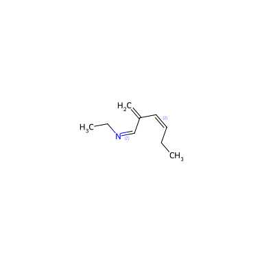 C=C(/C=C\CC)/C=N\CC